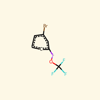 FC(F)(F)O[I]c1cccc(Br)c1